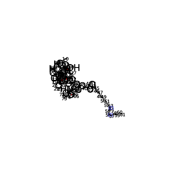 C=C[C@H]1O[C@H]2C[C@H]3OC[C@@]3(OC(C)=O)[C@H]3[C@H](OC(=O)c4ccccc4)[C@]4(C(C)(C)O)C[C@H](OC(=O)[C@H](OC(=O)OCC5COC(CCCCCCCC/C=C\C/C=C\CCCC)O5)[C@H](CC(C)C)NC(=O)OC(C)(C)C)C(C)=C4[C@H](O)[C@H](O1)[C@]23C